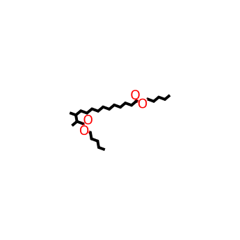 CCCCCOC(=O)CCCCCCCCCCC(C)C(C)C(=O)OCCCCC